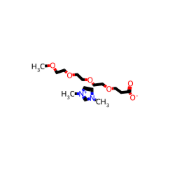 COCCOCCOCCOCCC(=O)[O-].Cn1cc[n+](C)c1